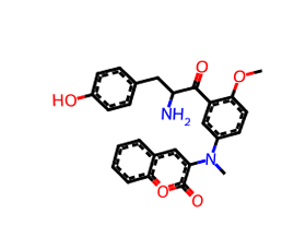 COc1ccc(N(C)c2cc3ccccc3oc2=O)cc1C(=O)C(N)Cc1ccc(O)cc1